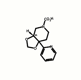 O=C(O)N1CCC2(c3ccccn3)OCO[C@@H]2C1